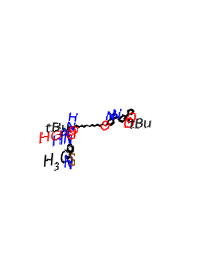 Cc1ncsc1-c1ccc(CNC(=O)[C@@H]2C[C@@H](O)CN2C(=O)[C@@H](NC(=O)CCCCCCCCCCCOc2ccc3c(-c4ccc(C(=O)OC(C)(C)C)c(C5CCCC5)c4)ncnc3c2)C(C)(C)C)cc1